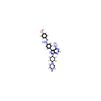 COc1ccc(CNc2ccc(-c3nn(C4CCC(N5CCN(C)CC5)CC4)c4ncnc(N)c34)cc2)cc1